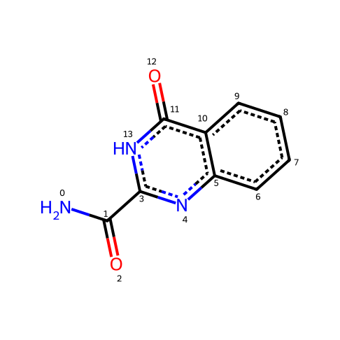 NC(=O)c1nc2ccccc2c(=O)[nH]1